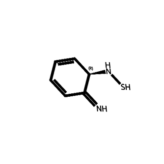 N=C1C=CC=C[C@H]1NS